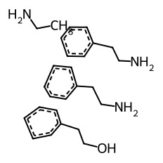 CCN.NCCc1ccccc1.NCCc1ccccc1.OCCc1ccccc1